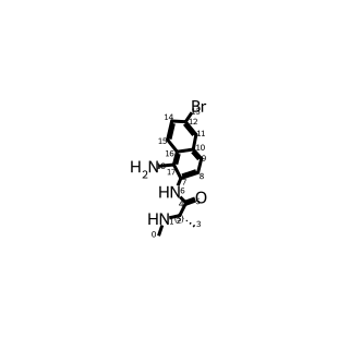 CN[C@@H](C)C(=O)Nc1ccc2cc(Br)ccc2c1N